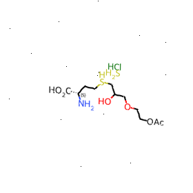 CC(=O)OCCOCC(O)C[SH](C)CC[C@H](N)C(=O)O.Cl.S